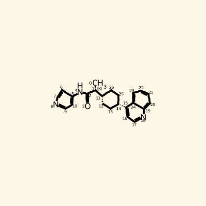 C[C@@H](C(=O)Nc1ccncc1)[C@H]1CC[C@@H](c2ccnc3ccccc32)CC1